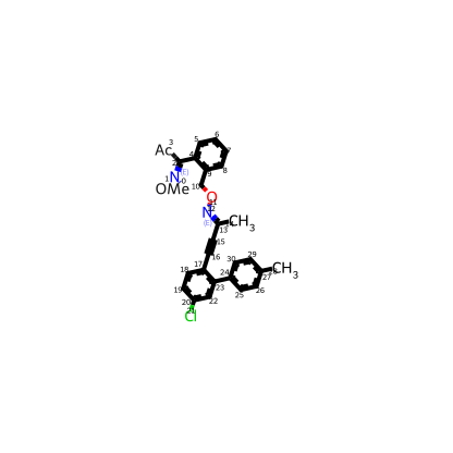 CO/N=C(/C(C)=O)c1ccccc1CO/N=C(\C)C#Cc1ccc(Cl)cc1-c1ccc(C)cc1